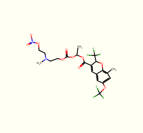 Cc1cc(OC(F)(F)F)cc2c1OC(C(F)(F)F)C(C(=O)OC(C)OC(=O)OCCN(C)CCO[N+](=O)[O-])=C2